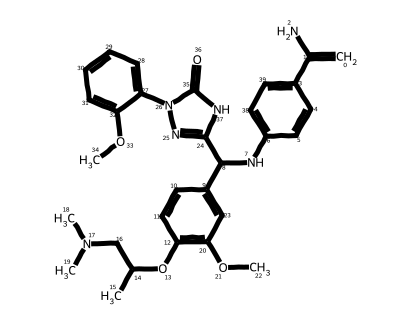 C=C(N)c1ccc(NC(c2ccc(OC(C)CN(C)C)c(OC)c2)c2nn(-c3ccccc3OC)c(=O)[nH]2)cc1